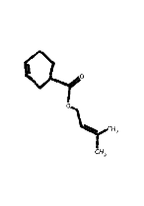 CC(C)=CCOC(=O)C1CC=CCC1